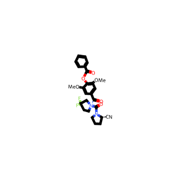 COc1cc(C(=O)[N@+]2(C(=O)N3CCC[C@H]3C#N)CCC(F)(F)C2)cc(OC)c1OC(=O)c1ccccc1